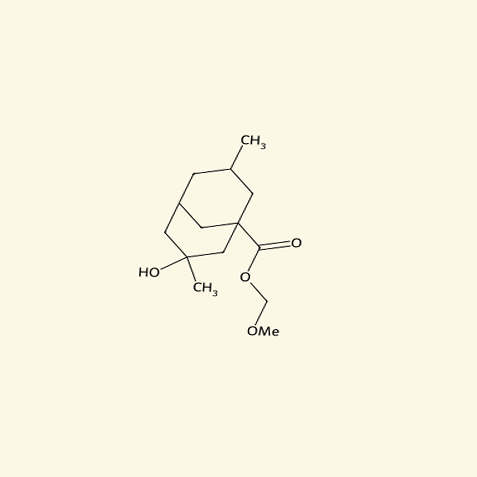 COCOC(=O)C12CC(C)CC(CC(C)(O)C1)C2